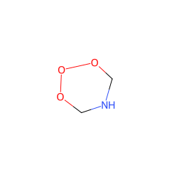 C1NCOOO1